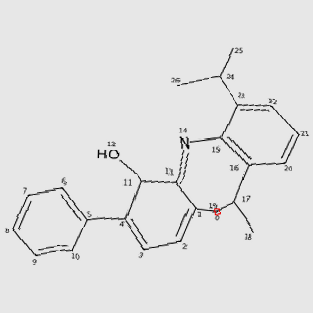 CC1=CC=C(c2ccccc2)C(O)C1=Nc1c(C(C)C)cccc1C(C)C